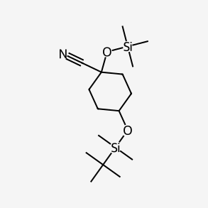 CC(C)(C)[Si](C)(C)OC1CCC(C#N)(O[Si](C)(C)C)CC1